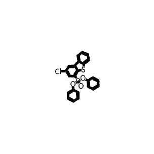 O=P(Oc1ccccc1)(Oc1ccccc1)c1cc(Cl)cc2c1sc1ccccc12